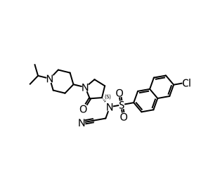 CC(C)N1CCC(N2CC[C@H](N(CC#N)S(=O)(=O)c3ccc4cc(Cl)ccc4c3)C2=O)CC1